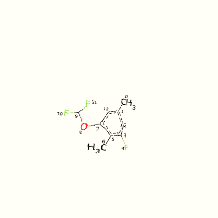 Cc1cc(F)c(C)c(OC(F)F)c1